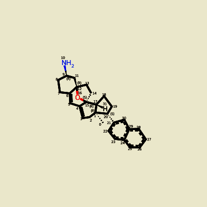 C[C@]12CC=C3C=C4CC[C@@H](N)C[C@]45CC[C@]3(O5)[C@@H]1CC[C@@H]2c1ccc2ccccc2c1